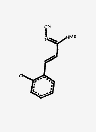 CNC(C=Cc1ccccc1Cl)=NC#N